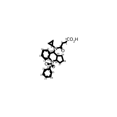 O=C(O)CCC(=O)N(C1CC1)C1c2ccccc2N(S(=O)(=O)c2ccccc2)C2CCCC12